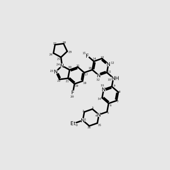 CCN1CCN(Cc2ccc(Nc3ncc(F)c(-c4cc(F)c5cnn(C6CCCC6)c5c4)n3)nc2)CC1